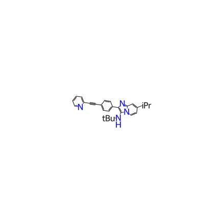 CC(C)c1ccn2c(NC(C)(C)C)c(-c3ccc(C#Cc4ccccn4)cc3)nc2c1